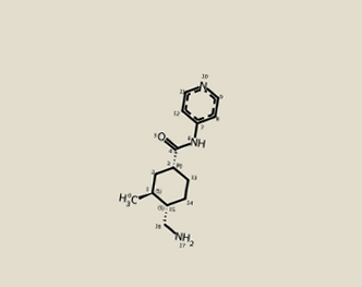 C[C@H]1C[C@H](C(=O)Nc2ccncc2)CC[C@@H]1CN